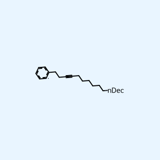 CCCCCCCCCCCCCCCCC#CCCc1[c]cccc1